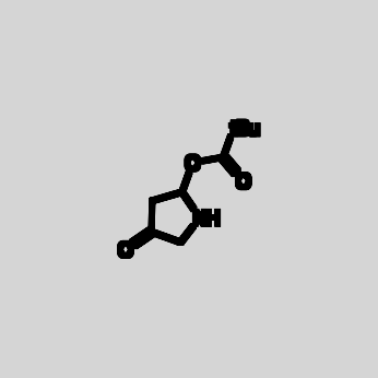 CC(C)(C)C(=O)OC1CC(=O)CN1